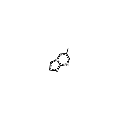 Fc1cnc2n[c]cn2c1